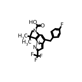 CC1(C)CN(C(=O)O)c2cc(Cc3ccc(F)cc3)c3cc(C(F)(F)F)nn3c21